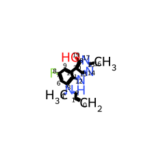 C=CCN(C)c1cc(F)cc2c1[nH]c1nc(C)nc(O)c12